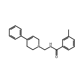 Cc1cccc(C(=O)NCN2CC=C(c3ccccc3)CC2)c1